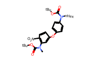 CCCCCCN(C(=O)OC(C)(C)C)c1ccc(Oc2ccc([N+](=O)[O-])c(N(C)C(=O)OC(C)(C)C)c2)cc1